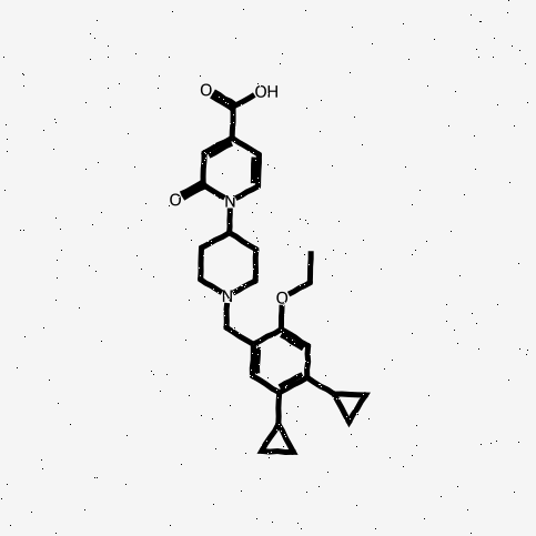 CCOc1cc(C2CC2)c(C2CC2)cc1CN1CCC(n2ccc(C(=O)O)cc2=O)CC1